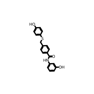 O=C(Nc1cccc(O)c1)c1ccc(CSc2ccc(O)cc2)cc1